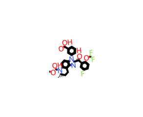 COC(O)N1c2ccc3c(nc([C@H](O)c4cc(F)ccc4OC(F)F)n3-c3cccc(C(=O)O)c3)c2CC[C@@H]1C